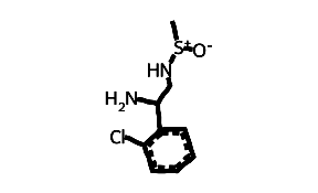 C[S+]([O-])NCC(N)c1ccccc1Cl